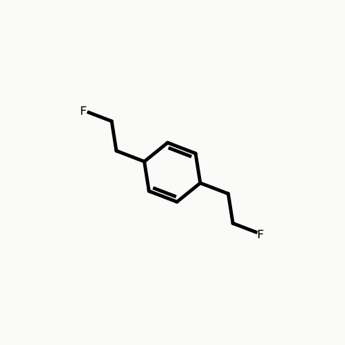 FCCC1C=CC(CCF)C=C1